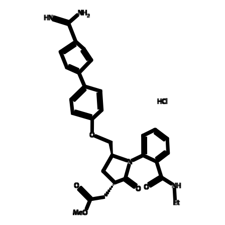 CCNC(=O)c1ccccc1N1C(=O)[C@H](CC(=O)OC)C[C@H]1COc1ccc(-c2ccc(C(=N)N)cc2)cc1.Cl